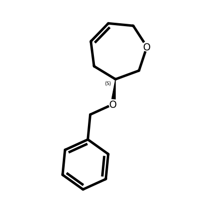 C1=CC[C@H](OCc2ccccc2)COC1